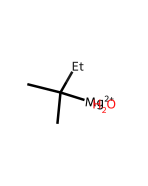 CC[C](C)(C)[Mg+2].O